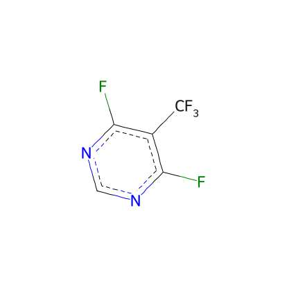 Fc1ncnc(F)c1C(F)(F)F